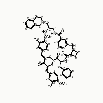 COc1ccc(/C=C2\CN(C(=O)[C@H](Cc3ccccc3)NC(=O)C3CCC3Nc3cc(C(=O)NC[C@H](O)CN4CCc5ccccc5C4)ncn3)C/C(=C\c3ccc(OC)c(Cl)c3)C2=O)cc1Cl